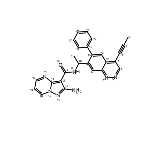 CC#Cc1cnnc2cc(C(C)NC(=O)c3c(N)nn4cccnc34)c(-c3ccccc3)cc12